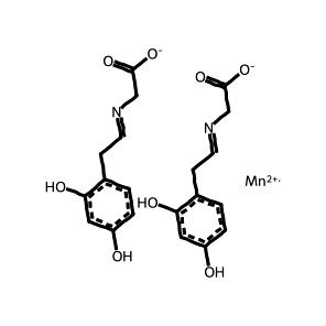 O=C([O-])CN=CCc1ccc(O)cc1O.O=C([O-])CN=CCc1ccc(O)cc1O.[Mn+2]